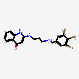 O=c1cc(NCCCNCc2cc(Br)c(Br)c(Br)c2)[nH]c2ccccc12